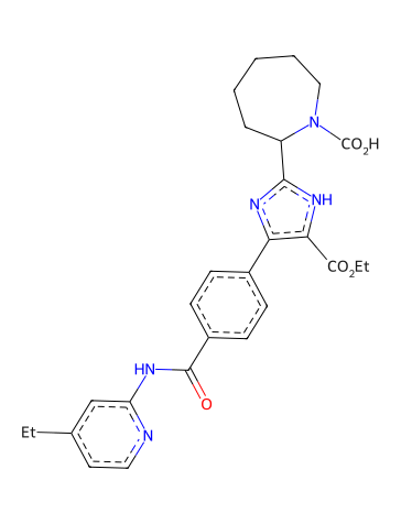 CCOC(=O)c1[nH]c(C2CCCCCN2C(=O)O)nc1-c1ccc(C(=O)Nc2cc(CC)ccn2)cc1